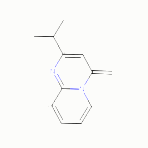 C=C1C=C(C(C)C)N=C2C=CC=CN12